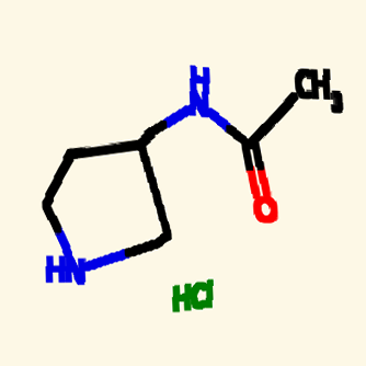 CC(=O)NC1CCNC1.Cl